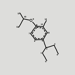 CCC(CC)c1ccc(OC(C)C)c(C)c1